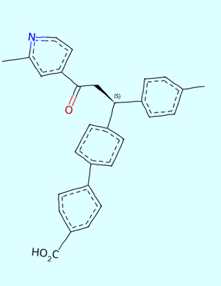 Cc1ccc([C@H](CC(=O)c2ccnc(C)c2)c2ccc(-c3ccc(C(=O)O)cc3)cc2)cc1